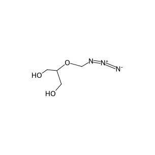 [N-]=[N+]=NCOC(CO)CO